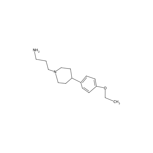 CCOc1ccc(C2CCN(CCCN)CC2)cc1